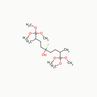 CO[Si](OC)(OC)C(C)CCC(O)(F)CCC(C)[Si](OC)(OC)OC